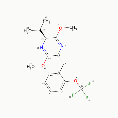 COC1=N[C@H](Cc2ccccc2OC(F)(F)F)C(OC)=N[C@H]1C(C)C